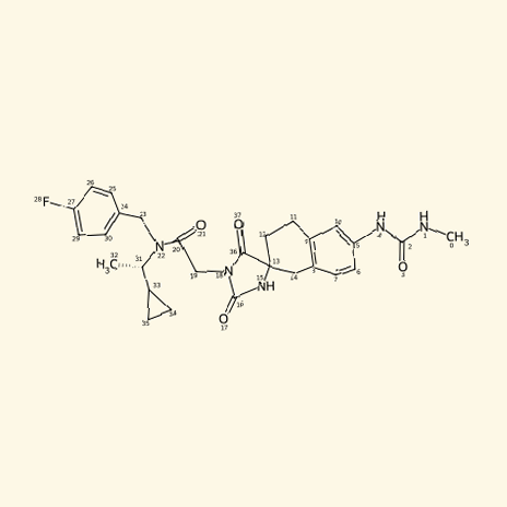 CNC(=O)Nc1ccc2c(c1)CCC1(C2)NC(=O)N(CC(=O)N(Cc2ccc(F)cc2)[C@@H](C)C2CC2)C1=O